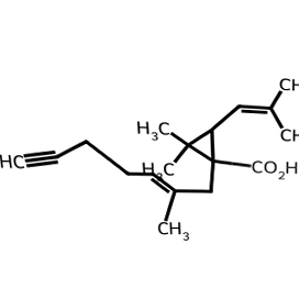 C#CCCC=C(C)CC1(C(=O)O)C(C=C(C)C)C1(C)C